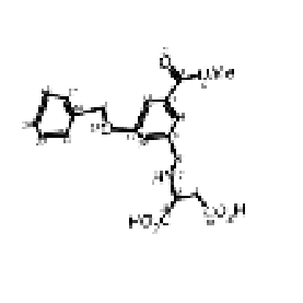 COC(=O)c1cc(CNC(CC(=O)O)C(=O)O)cc(OCc2ccccc2)c1